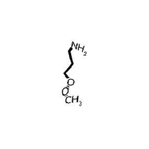 COOCCCN